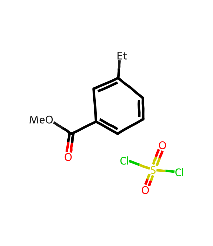 CCc1cccc(C(=O)OC)c1.O=S(=O)(Cl)Cl